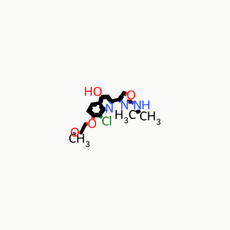 COCCOc1ccc2c(O)cc(-c3coc(NC(C)C)n3)nc2c1Cl